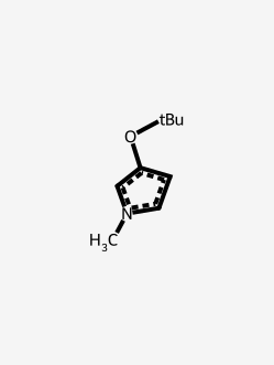 Cn1ccc(OC(C)(C)C)c1